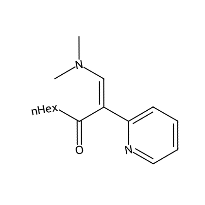 CCCCCCC(=O)C(=CN(C)C)c1ccccn1